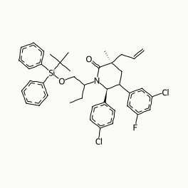 C=CC[C@@]1(C)CC(c2cc(F)cc(Cl)c2)[C@@H](c2ccc(Cl)cc2)N(C(CC)CO[Si](c2ccccc2)(c2ccccc2)C(C)(C)C)C1=O